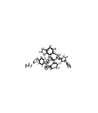 Cc1ccc(S(=O)(=O)[C@@H]2CCC[C@H]2C(=O)N(Cc2ccc3c(c2)CCC3)[C@@H]2CC[C@H](C#N)C2)cc1